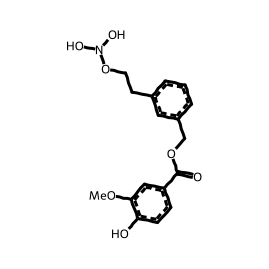 COc1cc(C(=O)OCc2cccc(CCON(O)O)c2)ccc1O